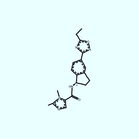 CCc1nc(-c2ccc3c(c2)CC[C@H]3NC(=O)c2cnc(C)n2C)no1